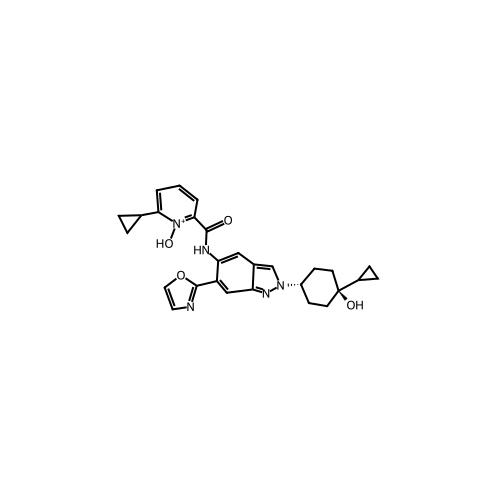 O=C(Nc1cc2cn([C@H]3CC[C@@](O)(C4CC4)CC3)nc2cc1-c1ncco1)c1cccc(C2CC2)[n+]1O